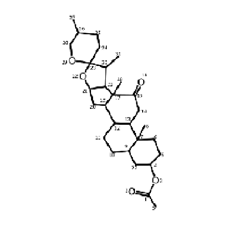 CC(=O)OC1CCC2(C)C(CCC3C2CC(=O)C2(C)C3CC3OC4(CCC(C)CO4)C(C)C32)C1